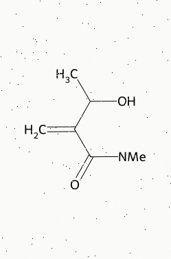 C=C(C(=O)NC)C(C)O